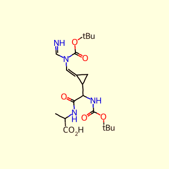 CC(NC(=O)C(NC(=O)OC(C)(C)C)C1C/C1=C\N(C=N)C(=O)OC(C)(C)C)C(=O)O